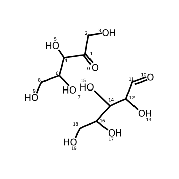 O=C(CO)C(O)C(O)CO.O=CC(O)C(O)C(O)CO